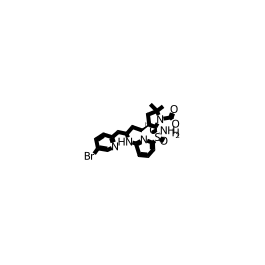 CC1(C)C[C@H](CCC(Cc2ccc(Br)cn2)Nc2cccc(S(N)(=O)=O)n2)CN1C(=O)O